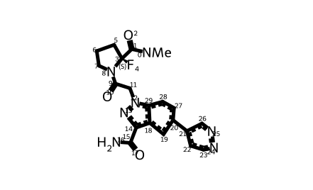 CNC(=O)[C@@]1(F)CCCN1C(=O)Cn1nc(C(N)=O)c2cc(-c3ccnnc3)ccc21